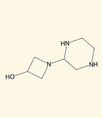 OC1CN(C2CNCCN2)C1